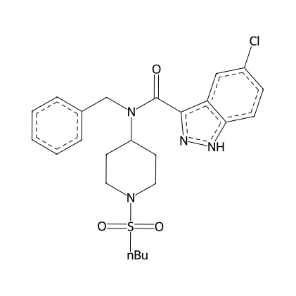 CCCCS(=O)(=O)N1CCC(N(Cc2ccccc2)C(=O)c2n[nH]c3ccc(Cl)cc23)CC1